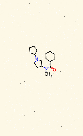 CN(C(=O)C1CCCCC1)C1CCN(C2CCCC2)C1